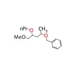 CCCOC(COC)CC(C)OCc1ccccc1